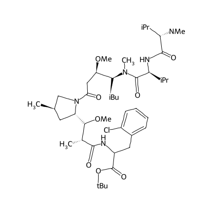 CC[C@H](C)[C@@H]([C@@H](CC(=O)N1C[C@H](C)C[C@H]1C(OC)[C@@H](C)C(=O)NC(Cc1ccccc1Cl)C(=O)OC(C)(C)C)OC)N(C)C(=O)[C@@H](NC(=O)[C@@H](NC)C(C)C)C(C)C